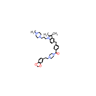 Cc1c(C)n(CCCN2CCN(C)CC2)c2ccc(Cc3ccc(C(=O)N4CCN(CCc5ccc6c(c5)OCO6)CC4)cc3)cc12